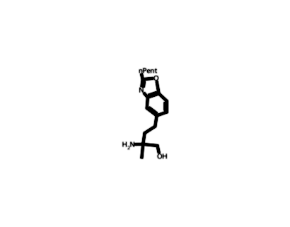 CCCCCc1nc2cc(CCC(C)(N)CO)ccc2o1